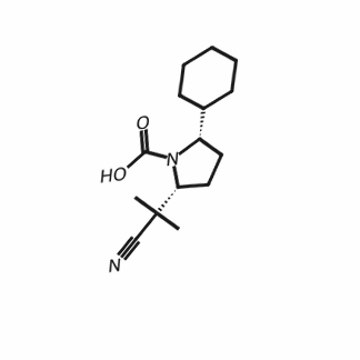 CC(C)(C#N)[C@H]1CC[C@@H](C2CCCCC2)N1C(=O)O